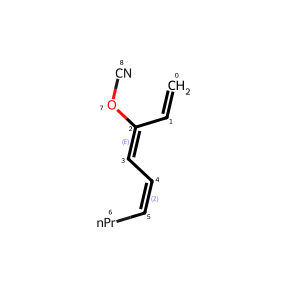 C=C/C(=C\C=C/CCC)OC#N